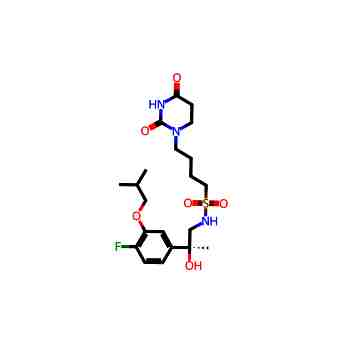 CC(C)COc1cc([C@](C)(O)CNS(=O)(=O)CCCCN2CCC(=O)NC2=O)ccc1F